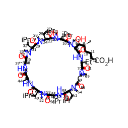 CC[C@@H]1NC(=O)[C@H]([C@H](O)[C@H](C)CCCC(=O)O)N(C)C(=O)[C@H](C(C)C)N(C)C(O)[C@H](CC(C)C)N(C)C(=O)[C@H](CC(C)C)N(C)C(=O)[C@@H](C)NC(=O)[C@H](C)NC(=O)[C@H](CC(C)C)N(C)C(=O)[C@H](C(C)C)NC(=O)[C@H](CC(C)C)N(C)C(=O)CN(C)C1=O